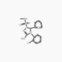 CNS(=O)(=O)N1N=C(O)N(c2ccccc2Cl)C1c1ccccc1